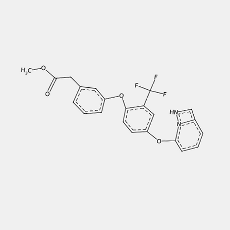 COC(=O)Cc1cccc(Oc2ccc(Oc3cccc4c[nH]n34)cc2C(F)(F)F)c1